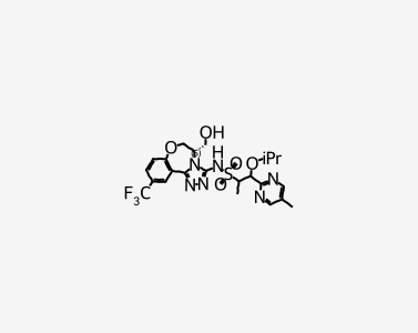 Cc1cnc(C(OC(C)C)C(C)S(=O)(=O)Nc2nnc3n2[C@@H](CO)COc2ccc(C(F)(F)F)cc2-3)nc1